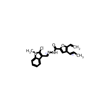 C=Cc1oc(C(=O)N/N=C/c2c(Cl)n(C)c3ccccc23)cc1/C=C/C